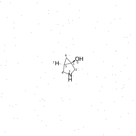 O[C@@]12CNC[C@H]1C2